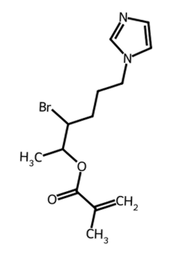 C=C(C)C(=O)OC(C)C(Br)CCCn1ccnc1